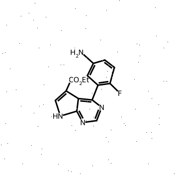 CCOC(=O)c1c[nH]c2ncnc(-c3cc(N)ccc3F)c12